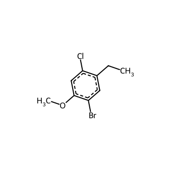 CCc1cc(Br)c(OC)cc1Cl